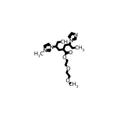 CCC(CC(CC(CC)n1cc[n+](C)c1)C(=O)OCCOCCOC)n1ccnc1